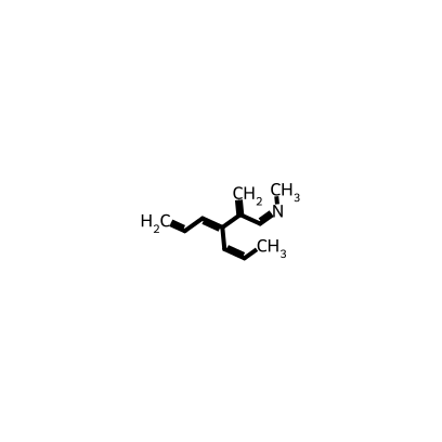 C=C/C=C(\C=C/C)C(=C)/C=N\C